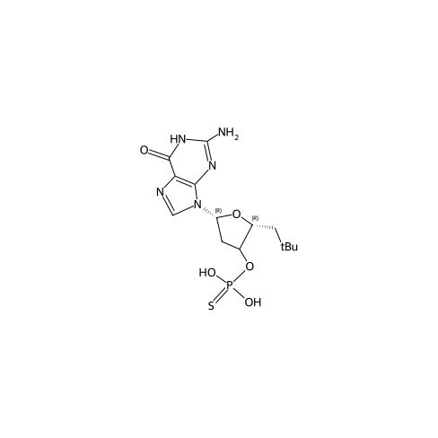 CC(C)(C)C[C@H]1O[C@@H](n2cnc3c(=O)[nH]c(N)nc32)CC1OP(O)(O)=S